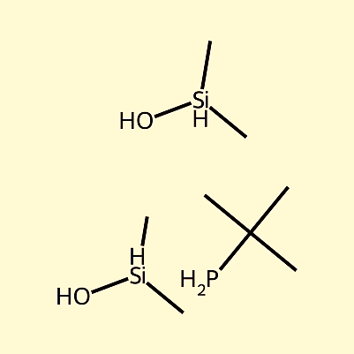 CC(C)(C)P.C[SiH](C)O.C[SiH](C)O